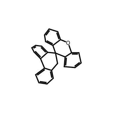 c1ccc2c(c1)CC1(c3ccccc3Oc3ccccc31)c1ccccc1-2